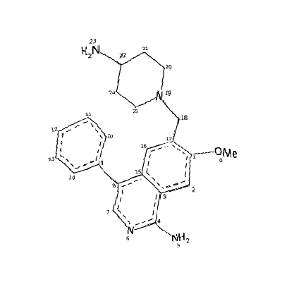 COc1cc2c(N)ncc(-c3ccccc3)c2cc1CN1CCC(N)CC1